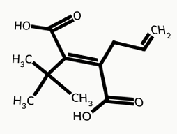 C=CCC(C(=O)O)=C(C(=O)O)C(C)(C)C